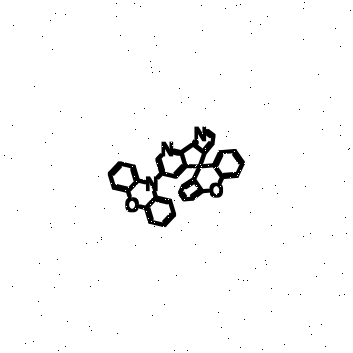 c1ccc2c(c1)Oc1ccccc1N2c1cnc2c(c1)C1(c3ccccc3Oc3ccccc31)c1cccnc1-2